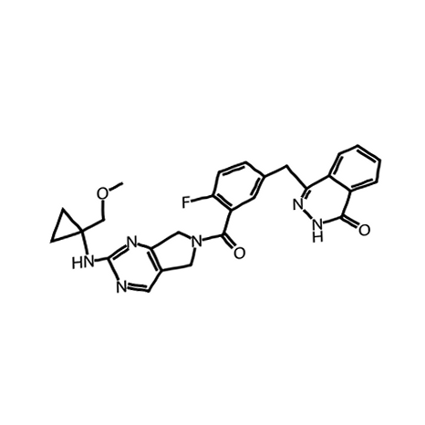 COCC1(Nc2ncc3c(n2)CN(C(=O)c2cc(Cc4n[nH]c(=O)c5ccccc45)ccc2F)C3)CC1